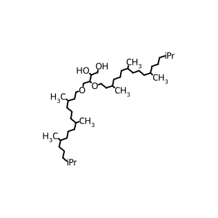 CC(C)CCCC(C)CCCC(C)CCCC(C)CCOCC(OCCC(C)CCCC(C)CCCC(C)CCCC(C)C)C(O)CO